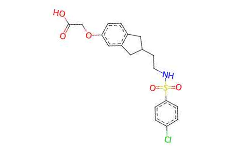 O=C(O)COc1ccc2c(c1)CC(CCNS(=O)(=O)c1ccc(Cl)cc1)C2